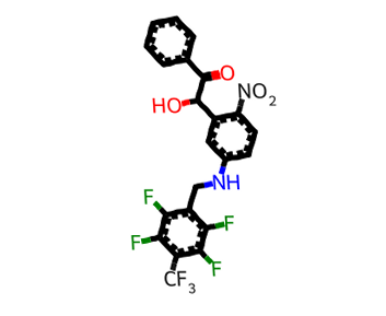 O=C(c1ccccc1)C(O)c1cc(NCc2c(F)c(F)c(C(F)(F)F)c(F)c2F)ccc1[N+](=O)[O-]